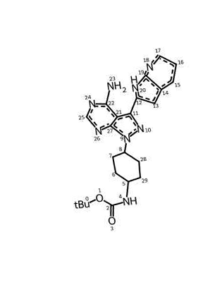 CC(C)(C)OC(=O)NC1CCC(n2nc(-c3cc4cccnc4[nH]3)c3c(N)ncnc32)CC1